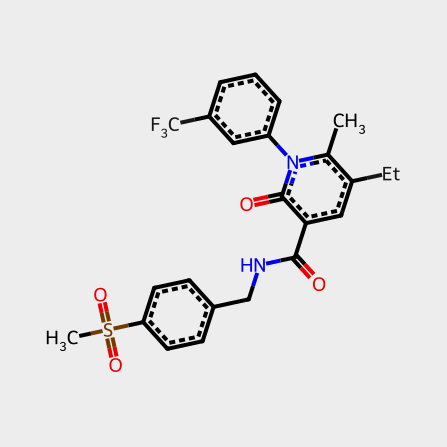 CCc1cc(C(=O)NCc2ccc(S(C)(=O)=O)cc2)c(=O)n(-c2cccc(C(F)(F)F)c2)c1C